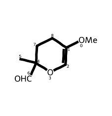 COC1=COC(C)(C=O)CC1